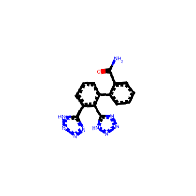 NC(=O)c1ccccc1-c1cccc(-c2nnn[nH]2)c1-c1nnn[nH]1